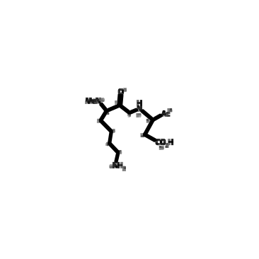 CNC(CCCCN)C(=O)CNC(CC(=O)O)C(C)=O